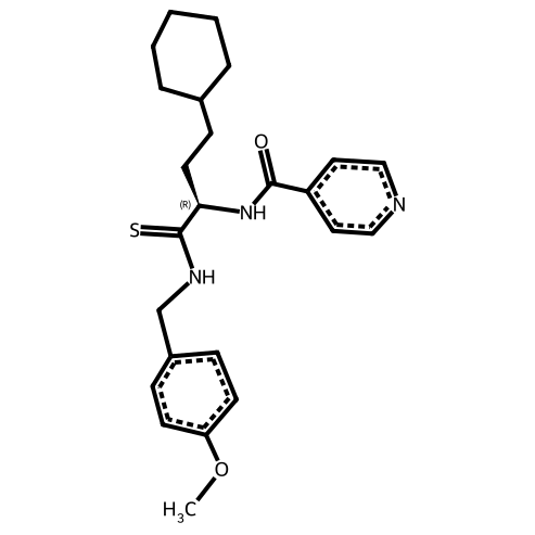 COc1ccc(CNC(=S)[C@@H](CCC2CCCCC2)NC(=O)c2ccncc2)cc1